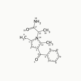 Cc1cc(C(=O)c2ccccc2)c(C)n1C(C)C(N)=O